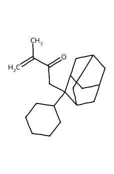 C=C(C)C(=O)CC1(C2CCCCC2)C2CC3CC(C2)CC1C3